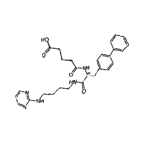 O=C(O)CCCC(=O)N[C@H](Cc1ccc(-c2ccccc2)cc1)C(=O)NCCCCNc1ncccn1